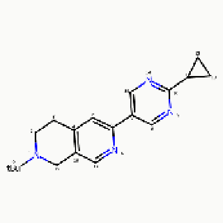 CC(C)(C)N1CCc2cc(-c3cnc(C4CC4)nc3)ncc2C1